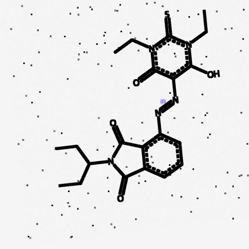 CCC(CC)N1C(=O)c2cccc(/N=N/c3c(O)n(CC)c(=S)n(CC)c3=O)c2C1=O